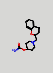 NC(=O)OC1CCN(CC2CCc3ccccc3O2)CC1